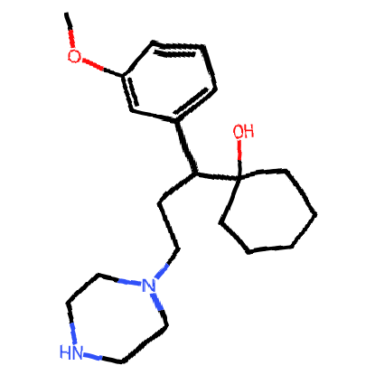 COc1cccc(C(CCN2CCNCC2)C2(O)CCCCC2)c1